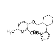 CCn1nccc1C1CCCCC1COc1ccc(C)nc1C=O